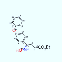 CCOC(=O)CC/C(=N/O)c1ccc(Oc2ccccc2)cc1